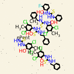 CCCCCNC(=S)Nc1cc(Cl)c(C)c(Cl)c1O.Cc1c(Cl)cc(NC(=S)NCCc2ccccc2)c(O)c1Cl.Cc1c(Cl)cc(NC(=S)NCc2ccccc2)c(O)c1Cl.Cc1ccccc1CNC(=S)Nc1cc(Cl)c(C)c(Cl)c1O.Oc1c(F)cccc1NC(=S)Nc1ccccc1